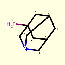 PC12CC3CC(CN(C3)C1)C2